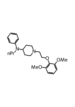 CCCN(c1ccccc1)C1CCN(CCOc2c(OC)cccc2OC)CC1